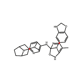 CC1=C2NOC(Nc3ccc(N4C5CCC4CC(N(C)C)C5)nc3)(N=C1)N2c1ccc2c(c1)NCO2